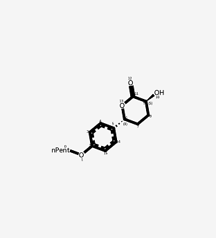 CCCCCOc1ccc([C@H]2CC[C@H](O)C(=O)O2)cc1